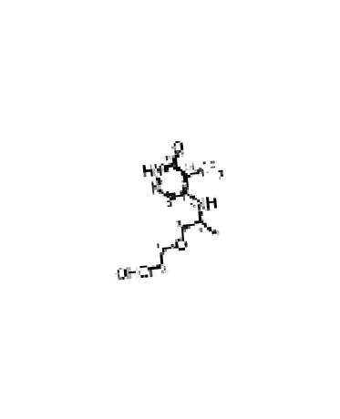 CC(COCCC=O)Nc1cn[nH]c(=O)c1C(F)(F)F